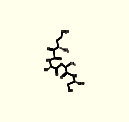 CC[C@H](NC(=O)C(=O)[C@@H](N)CCC(=O)O)C(=O)O[C@@H](C)C(=O)N[C@H](C=O)CO